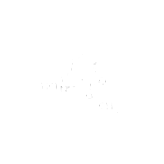 COC(=O)C12C=CC=CC1=CN=C2.Cl